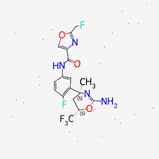 C[C@@]1(c2cc(NC(=O)c3coc(CF)n3)ccc2F)C[C@@H](C(F)(F)F)OC(N)=N1